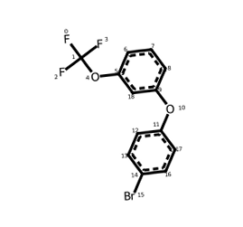 FC(F)(F)Oc1cc[c]c(Oc2ccc(Br)cc2)c1